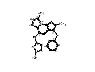 Cc1cc2c(cc(Nc3ccn(C)n3)c3nnc(C)n32)n1Cc1ccccc1